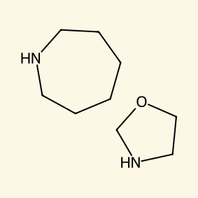 C1CCCNCC1.C1COCN1